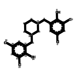 Oc1c(Cl)cc(Cl)cc1CN1CCCN(Cc2cc(Cl)cc(Cl)c2O)C1